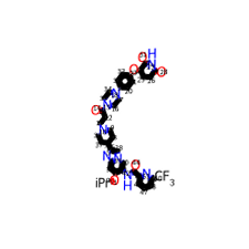 CC(C)Oc1cc2nc(C3CCN(CCC(=O)N4CCN(c5ccc(OC6CCC(=O)NC6=O)cc5)CC4)CC3)cn2cc1NC(=O)c1cccc(C(F)(F)F)n1